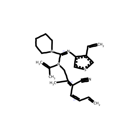 C=C/C=C\C(C#N)=C(/C)CN(C(=C)C)/C(=N\c1cscc1C=C)N1CCCCC1